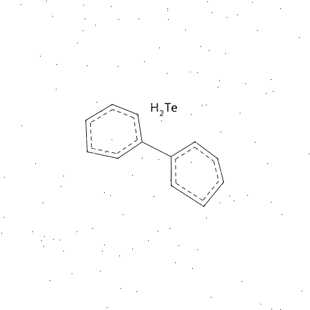 [TeH2].c1ccc(-c2ccccc2)cc1